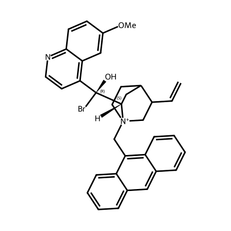 C=CC1C[N+]2(Cc3c4ccccc4cc4ccccc34)CCC1C[C@H]2[C@](O)(Br)c1ccnc2ccc(OC)cc12